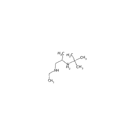 CCNCC(C)[SiH2]C(C)(C)C